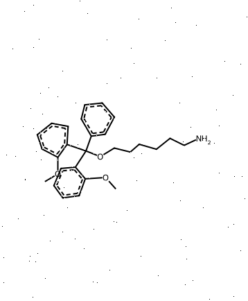 COc1ccccc1C(OCCCCCCN)(c1ccccc1)c1ccccc1OC